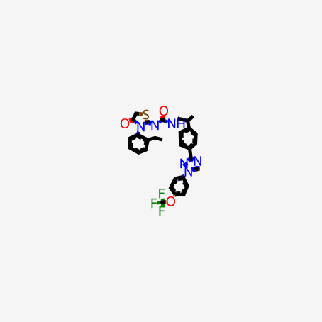 CCc1ccccc1N1C(=O)CS/C1=N\C(=O)NCC(C)c1ccc(-c2ncn(-c3ccc(OC(F)(F)F)cc3)n2)cc1